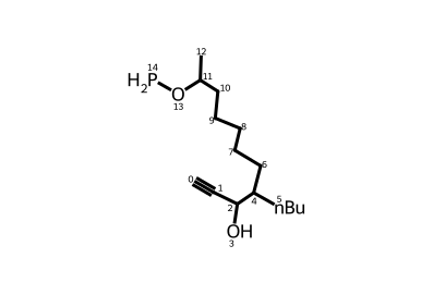 C#CC(O)C(CCCC)CCCCCC(C)OP